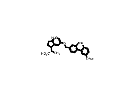 C=C1CCC([C@H](C)C(=O)O)/C1=C/C(=C\C)OCc1ccc(-c2cc(OC)ccc2F)c(C(C)(C)C)c1